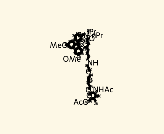 CCCOP(OCC(CCCCNCCOCCOCCOC1OC(COC(C)=O)C(C)C(C)C1NC(C)=O)COC(c1ccccc1)(c1ccc(OC)cc1)c1ccc(OC)cc1)N(C(C)C)C(C)C